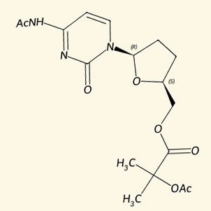 CC(=O)Nc1ccn([C@H]2CC[C@@H](COC(=O)C(C)(C)OC(C)=O)O2)c(=O)n1